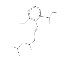 CCc1cccc(C(C)CC)c1C=NCC(C)CC(C)C